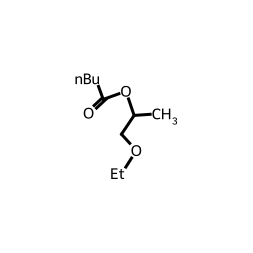 CCCCC(=O)OC(C)COCC